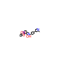 Cc1cc(-c2ccc(CN3Cc4ccnc(O[C@@H]5CCC[C@H]5O)c4C3O)cc2)ccn1